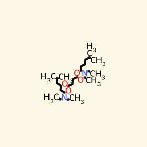 CCN(CC)C(CCCC(C)C)OC(=O)CCC(=O)OC(CCCC(C)C)N(CC)CC